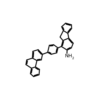 Nc1ccc2c(c1-c1ccc(-c3ccc4ccc5ccccc5c4c3)cc1)Cc1ccccc1-2